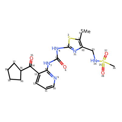 CSc1sc(NC(=O)Nc2ncccc2C(=O)C2CCCC2)nc1CNS(C)(=O)=O